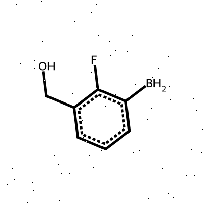 Bc1cccc(CO)c1F